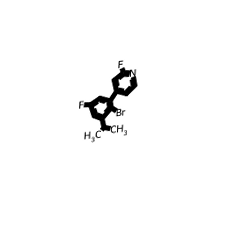 CC(C)c1cc(F)cc(-c2ccnc(F)c2)c1Br